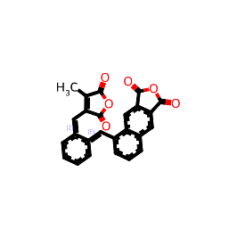 CC1=C(/C=c2/cccc/c2=C\c2cccc3cc4c(cc23)C(=O)OC4=O)C(=O)OC1=O